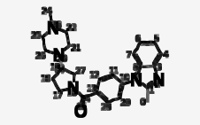 Cc1nc2ccccc2n1-c1ccc(C(=O)N2CC[C@H](N3CCN(C)CC3)C2)cc1